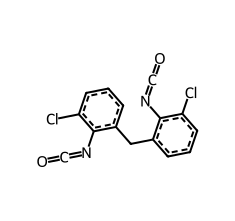 O=C=Nc1c(Cl)cccc1Cc1cccc(Cl)c1N=C=O